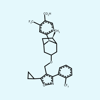 C[C@@H]1CC2CC(OCc3c(-c4ccccc4C(F)(F)F)noc3C3CC3)CC1N2c1cc(C(F)(F)F)c(C(=O)O)cn1